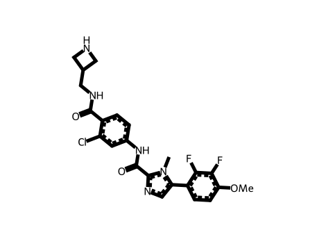 COc1ccc(-c2cnc(C(=O)Nc3ccc(C(=O)NCC4CNC4)c(Cl)c3)n2C)c(F)c1F